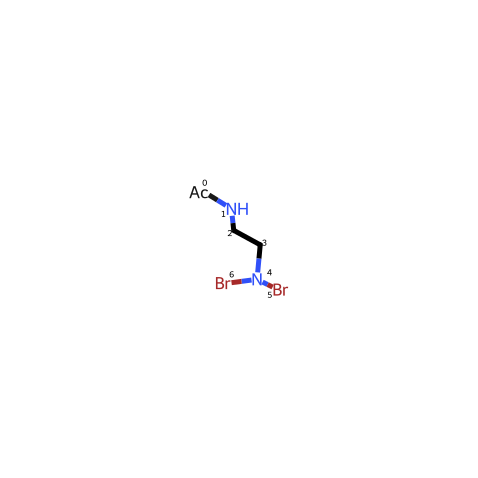 CC(=O)NCCN(Br)Br